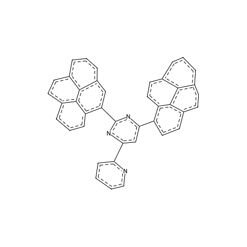 c1ccc(-c2cc(-c3ccc4ccc5cccc6ccc3c4c56)nc(-c3cc4cccc5ccc6cccc3c6c54)n2)nc1